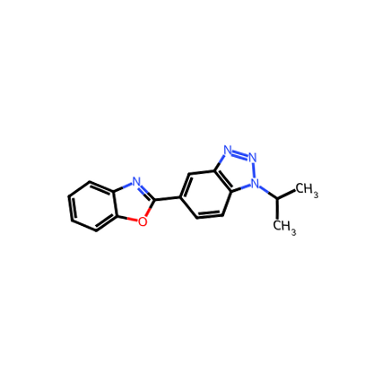 CC(C)n1nnc2cc(-c3nc4ccccc4o3)ccc21